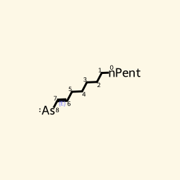 CCCCCCCCCC/C=C/[As]